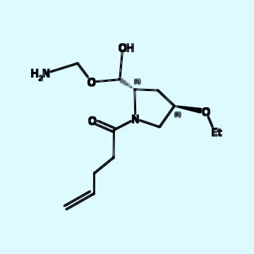 C=CCCC(=O)N1C[C@H](OCC)C[C@H]1C(O)OCN